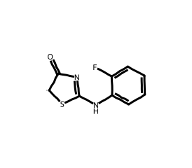 O=C1[CH]SC(Nc2ccccc2F)=N1